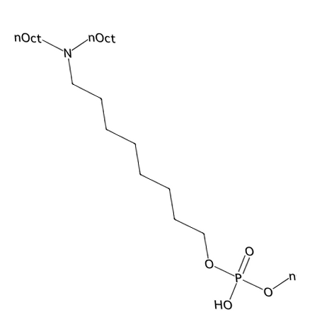 CCCCCCCCOP(=O)(O)OCCCCCCCCN(CCCCCCCC)CCCCCCCC